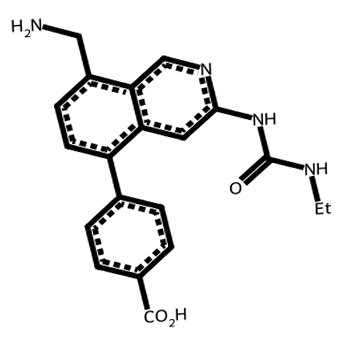 CCNC(=O)Nc1cc2c(-c3ccc(C(=O)O)cc3)ccc(CN)c2cn1